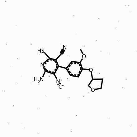 [C-]#[N+]c1c(N)nc(S)c(C#N)c1-c1ccc(OC2CCOC2)c(OC)c1